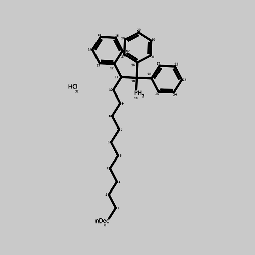 CCCCCCCCCCCCCCCCCCCCC(c1ccccc1)C(P)(c1ccccc1)c1ccccc1.Cl